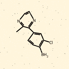 Bc1ccc(-c2nccnc2C)cc1Cl